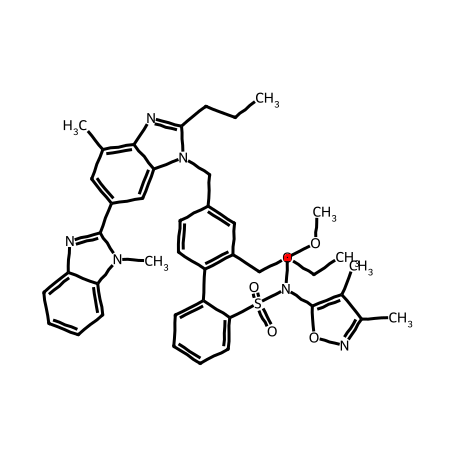 CCCc1nc2c(C)cc(-c3nc4ccccc4n3C)cc2n1Cc1ccc(-c2ccccc2S(=O)(=O)N(COC)c2onc(C)c2C)c(COCC)c1